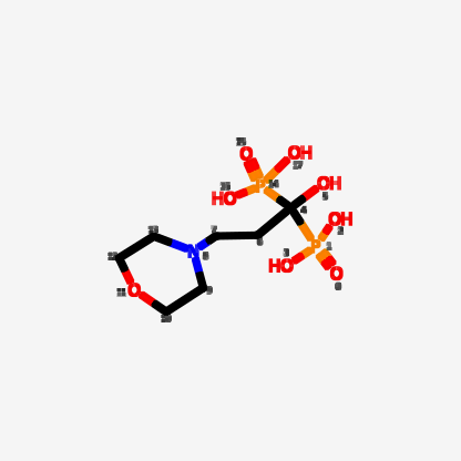 O=P(O)(O)C(O)(CCN1CCOCC1)P(=O)(O)O